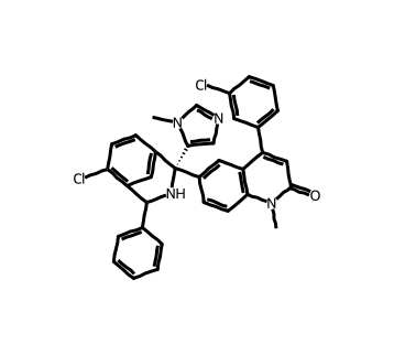 Cn1cncc1[C@]1(c2ccc3c(c2)c(-c2cccc(Cl)c2)cc(=O)n3C)NC(c2ccccc2)c2cc1ccc2Cl